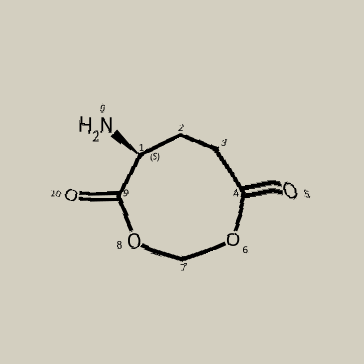 N[C@H]1CCC(=O)OCOC1=O